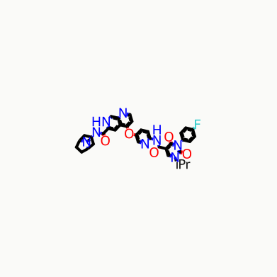 CC(C)n1cc(C(=O)Nc2ccc(Oc3ccnc4cnc(C(=O)NC5CC6CCC(C5)N6C)cc34)cn2)c(=O)n(-c2ccc(F)cc2)c1=O